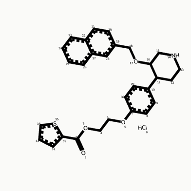 Cl.O=C(OCCOc1ccc(C2CCNCC2OCc2ccc3ccccc3c2)cc1)c1cccs1